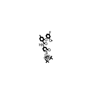 COc1cc(F)ccc1Oc1cc(C)ccc1C(=O)Nc1ccn(COP(=O)(OC(C)(C)C)OC(C)(C)C)c(=O)c1